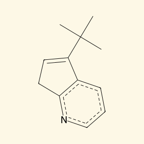 CC(C)(C)C1=CCc2ncccc21